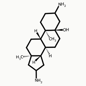 C[C@]12CC[C@H]3[C@@H](CC[C@@]4(O)CC(N)CC[C@]34C)[C@@H]1CC(N)C2